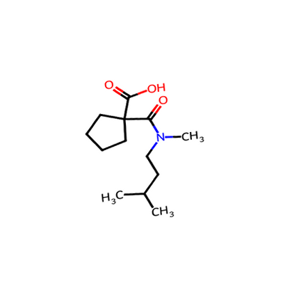 CC(C)CCN(C)C(=O)C1(C(=O)O)CCCC1